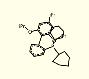 CC(C)Oc1cc(C(C)C)cc(OC(C)C)c1-c1ccccc1P(C1CCCCC1)C1CCCCC1